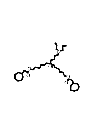 CCCN(CCC)CCCCC(O)(CCCCCCOC(=O)CC1CCCCCC1)CCCCCCOC(=O)CC1CCCCCC1